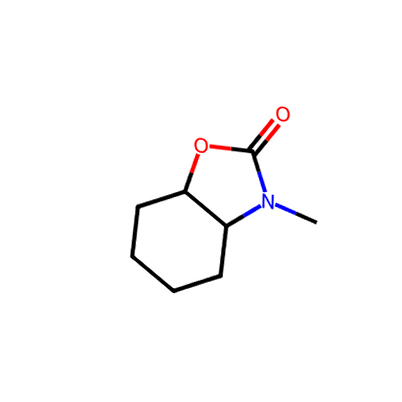 CN1C(=O)OC2CCCCC21